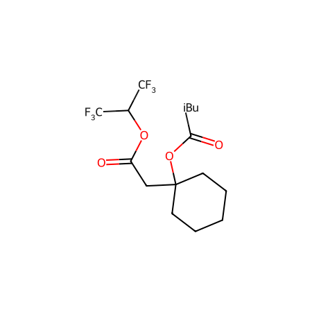 CCC(C)C(=O)OC1(CC(=O)OC(C(F)(F)F)C(F)(F)F)CCCCC1